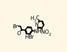 Br.Cc1ccc([N+](=O)[O-])c(Nc2ccc(C(=O)CBr)cc2)n1